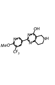 COc1ncc(-c2nc(O)c3c(n2)CCNC3)cc1C(F)(F)F